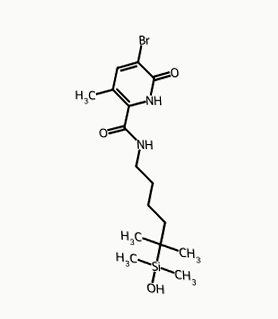 Cc1cc(Br)c(=O)[nH]c1C(=O)NCCCCC(C)(C)[Si](C)(C)O